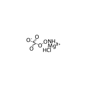 Cl.N.O=S(=O)([O-])O[O-].[Mg+2]